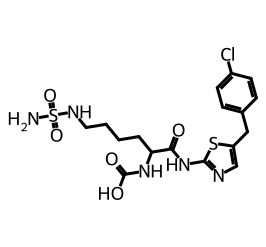 NS(=O)(=O)NCCCCC(NC(=O)O)C(=O)Nc1ncc(Cc2ccc(Cl)cc2)s1